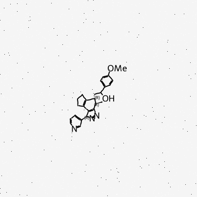 COc1ccc(C(O)C[C@H]2C3=C(CCC3)C3=C(N=N[C@H]3c3cccnc3)[C@@H]2C)cc1